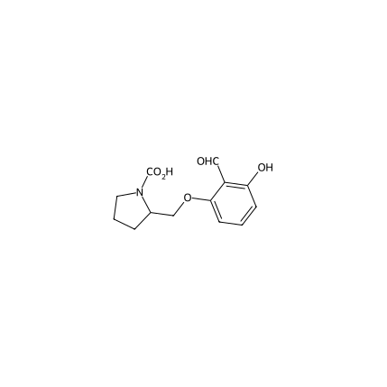 O=Cc1c(O)cccc1OCC1CCCN1C(=O)O